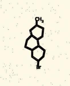 CC1CCC2C(CCC3CC(Br)CCC32)C1